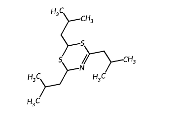 CC(C)CC1=NC(CC(C)C)SC(CC(C)C)S1